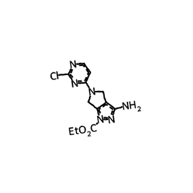 CCOC(=O)n1nc(N)c2c1CN(c1ccnc(Cl)n1)C2